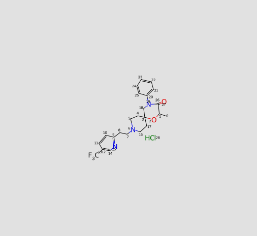 CC1OC2(CCN(CCc3ccc(C(F)(F)F)cn3)CC2)CN(c2ccccc2)C1=O.Cl